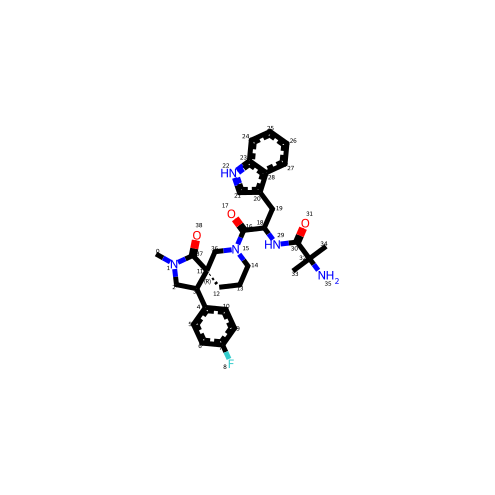 CN1CC(c2ccc(F)cc2)[C@@]2(CCCN(C(=O)C(Cc3c[nH]c4ccccc34)NC(=O)C(C)(C)N)C2)C1=O